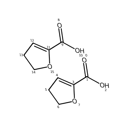 O=C(O)C1=CCCO1.O=C(O)C1=CCCO1